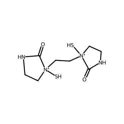 O=C1NCC[N+]1(S)CC[N+]1(S)CCNC1=O